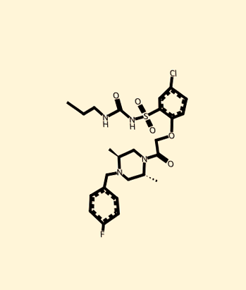 CCCNC(=O)NS(=O)(=O)c1cc(Cl)ccc1OCC(=O)N1C[C@H](C)N(Cc2ccc(F)cc2)C[C@H]1C